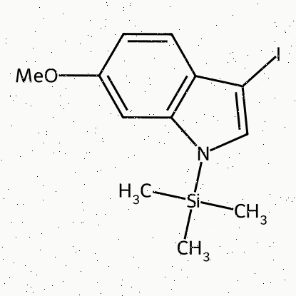 COc1ccc2c(I)cn([Si](C)(C)C)c2c1